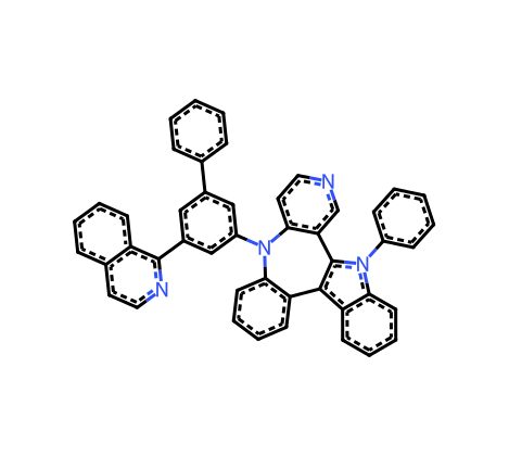 c1ccc(-c2cc(-c3nccc4ccccc34)cc(N3c4ccccc4-c4c(n(-c5ccccc5)c5ccccc45)-c4cnccc43)c2)cc1